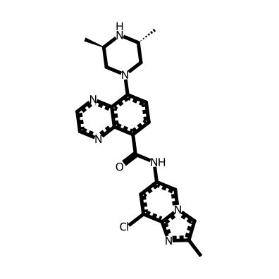 Cc1cn2cc(NC(=O)c3ccc(N4C[C@@H](C)N[C@H](C)C4)c4nccnc34)cc(Cl)c2n1